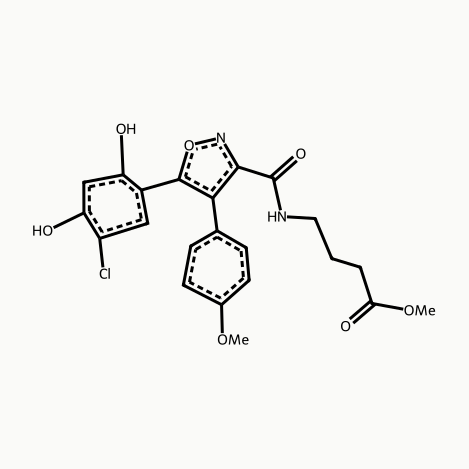 COC(=O)CCCNC(=O)c1noc(-c2cc(Cl)c(O)cc2O)c1-c1ccc(OC)cc1